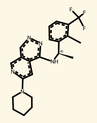 Cc1c([C@@H](C)Nc2nncc3cnc(N4CCCCC4)cc23)cccc1C(F)(F)F